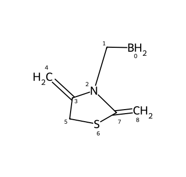 BCN1C(=C)CSC1=C